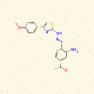 COc1ccc(-c2csc(NN=Cc3ccc(C(C)=O)cc3N)n2)cc1